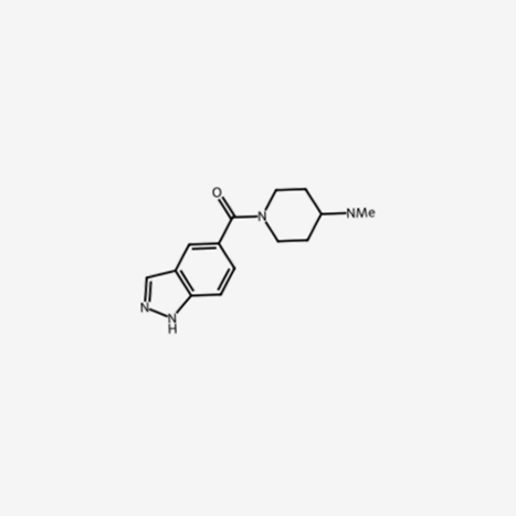 CNC1CCN(C(=O)c2ccc3[nH]ncc3c2)CC1